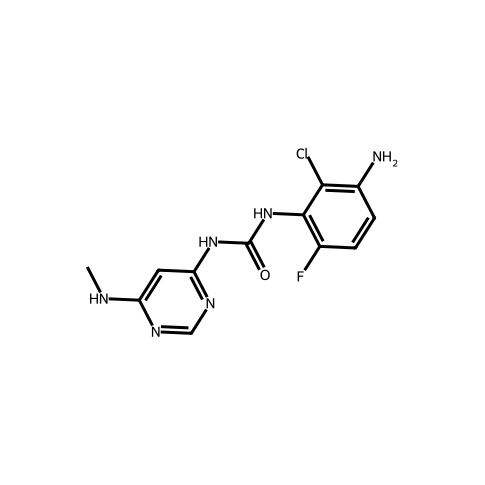 CNc1cc(NC(=O)Nc2c(F)ccc(N)c2Cl)ncn1